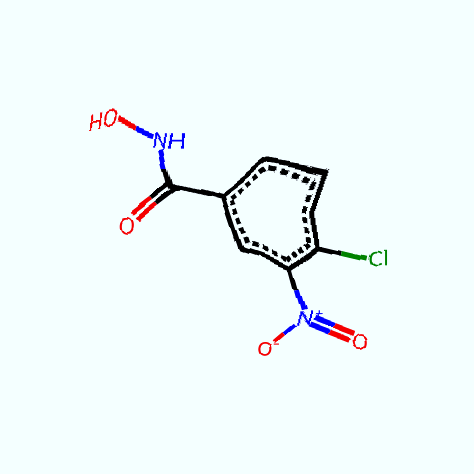 O=C(NO)c1ccc(Cl)c([N+](=O)[O-])c1